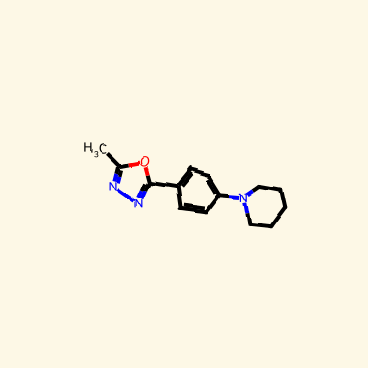 Cc1nnc(-c2ccc(N3CCCCC3)cc2)o1